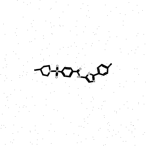 Cc1ccc(-c2ncc(NC(=O)c3ccc(S(=O)(=O)N4CCC(C)CC4)cc3)o2)cc1